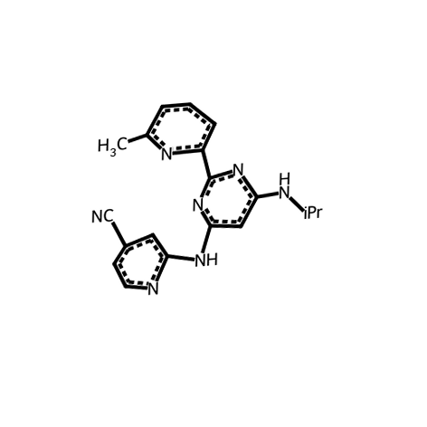 Cc1cccc(-c2nc(Nc3cc(C#N)ccn3)cc(NC(C)C)n2)n1